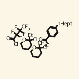 CC1(Cl)CCCCO1.CCC1(Cl)CCCCO1.CCCCCCCc1ccc(C(=O)Cl)cc1.O=C(Cl)C(F)(F)C(F)(F)C(F)(F)F